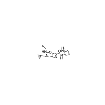 C#CCNC(=O)N(CCN(C)C)Cc1ccc(C(=O)Nc2ccccc2N)nc1